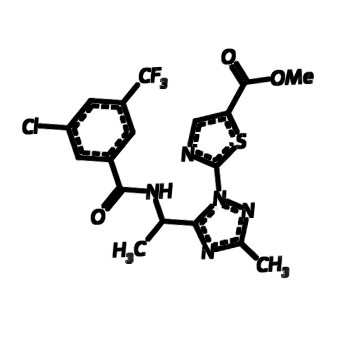 COC(=O)c1cnc(-n2nc(C)nc2C(C)NC(=O)c2cc(Cl)cc(C(F)(F)F)c2)s1